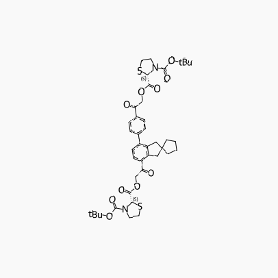 CC(C)(C)OC(=O)N1CCS[C@H]1C(=O)OCC(=O)c1ccc(-c2ccc(C(=O)COC(=O)[C@@H]3SCCN3C(=O)OC(C)(C)C)c3c2CC2(CCCC2)C3)cc1